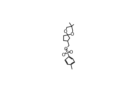 Cc1ccc(S(=O)(=O)OCC2CCC3(C2)OCC(C)(C)CO3)cc1